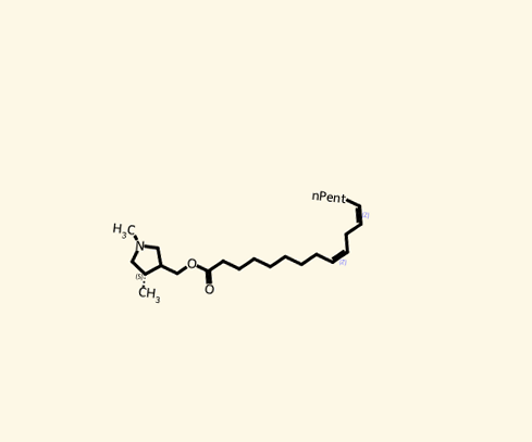 CCCCC/C=C\C/C=C\CCCCCCCC(=O)OCC1CN(C)C[C@H]1C